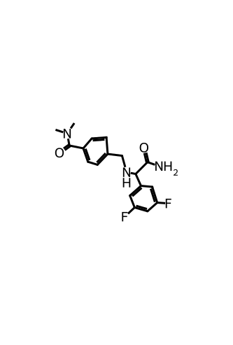 CN(C)C(=O)c1ccc(CNC(C(N)=O)c2cc(F)cc(F)c2)cc1